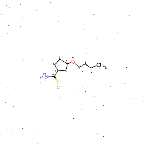 CCCCOC1CCC(C(N)=S)C1